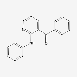 O=C(c1ccccc1)c1cccnc1Nc1ccccc1